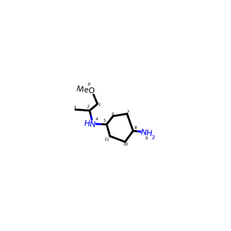 COCC(C)NC1CCC(N)CC1